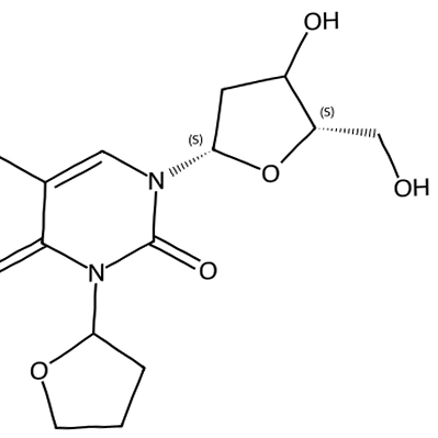 O=c1c(F)cn([C@@H]2CC(O)[C@H](CO)O2)c(=O)n1C1CCCO1